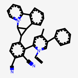 C=C[n+]1cc(-c2ccccc2)c(C)cc1-c1c(C2C3c4ccccc4-c4cccc[n+]4C32)ccc(C#N)c1C#N